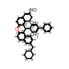 CC1CC(N=O)=Cc2ccc3c(c21)C(C1C=CC(c2ccccc2)=CC1C)c1c(ccc2cc(CC4CCCCC4)ccc12)O3